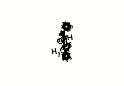 CC1(c2ccccc2)CCCN(C(=O)NC2C[C@@H]2c2ccccc2)C1